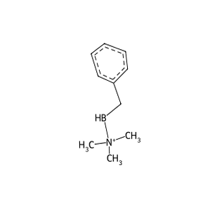 C[N+](C)(C)BCc1ccccc1